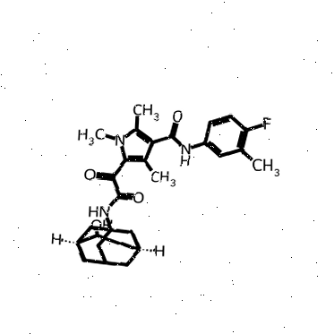 Cc1cc(NC(=O)c2c(C)c(C(=O)C(=O)NC34CC5C[C@H](C3)C(O)[C@@H](C5)C4)n(C)c2C)ccc1F